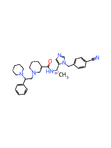 C[C@H](NC(=O)C1CCCN(CC(c2ccccc2)N2CCCCC2)C1)c1cncn1Cc1ccc(C#N)cc1